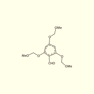 COCOc1cc(OCOC)c(C=O)c(OCOC)c1